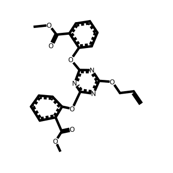 C=CCOc1nc(Oc2ccccc2C(=O)OC)nc(Oc2ccccc2C(=O)OC)n1